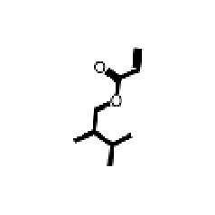 C=CC(=O)OCC(C)[C](C)C